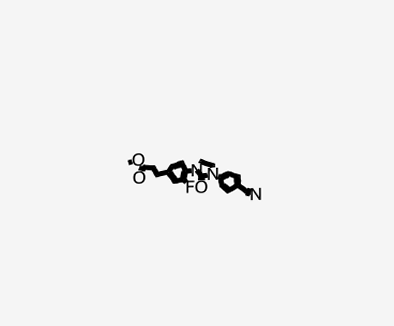 COC(=O)CCc1ccc(N2CCN(c3ccc(C#N)cc3)C2=O)c(F)c1